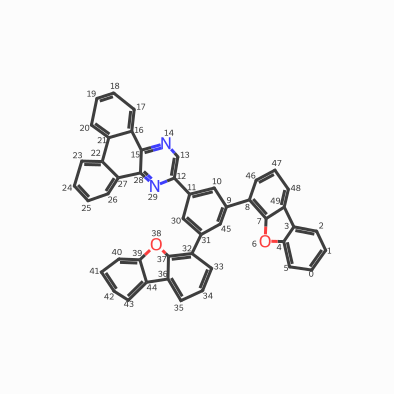 c1ccc2c(c1)oc1c(-c3cc(-c4cnc5c6ccccc6c6ccccc6c5n4)cc(-c4cccc5c4oc4ccccc45)c3)cccc12